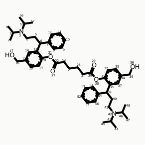 CC(C)N(CCC(c1ccccc1)c1cc(CO)ccc1OC(=O)CCCCC(=O)Oc1ccc(CO)cc1C(CCN(C(C)C)C(C)C)c1ccccc1)C(C)C